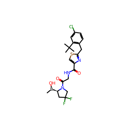 CB(O)[C@@H]1CC(F)(F)CN1C(=O)CNC(=O)c1csc(Cc2ccc(Cl)cc2C(C)(C)C)n1